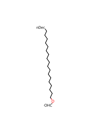 CCCCCCCCCCCCCCCCCCCCCCCCCCCCO[C]=O